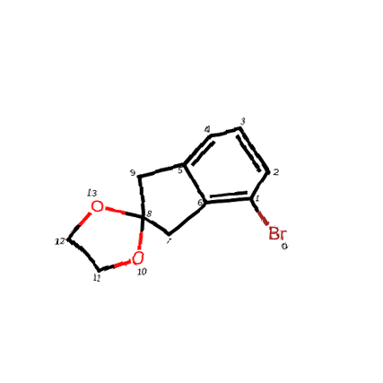 Brc1cccc2c1CC1(C2)OCCO1